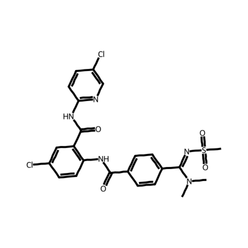 CN(C)C(=NS(C)(=O)=O)c1ccc(C(=O)Nc2ccc(Cl)cc2C(=O)Nc2ccc(Cl)cn2)cc1